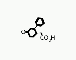 O=C(O)C[C@@H]1CCC(=O)C[C@H]1c1ccccc1